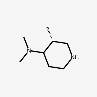 C[C@@H]1CNCCC1N(C)C